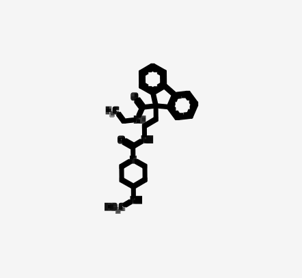 O=C(O)NC1CCN(C(=O)NCCC2(C(=O)NCC(F)(F)F)c3ccccc3-c3ccccc32)CC1